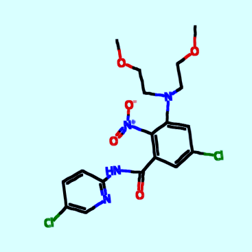 COCCN(CCOC)c1cc(Cl)cc(C(=O)Nc2ccc(Cl)cn2)c1[N+](=O)[O-]